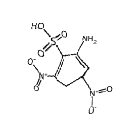 NC1=CC([N+](=O)[O-])CC([N+](=O)[O-])=C1S(=O)(=O)O